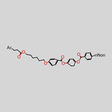 CCCCCCCCCc1ccc(C(=O)OC2=CC=C(OC(=O)c3ccc(OCCCCCCOC(=O)CCC(C)=O)cc3)CC2)cc1